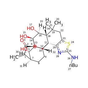 C=C1C(=O)[C@]23[C@H](O)[C@H]1CC[C@H]2[C@@]12CO[C@]3(O)[C@@H](O)[C@@H]1C(C)(C)Cc1sc(NCCCC)nc12